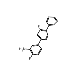 Nc1cc(-c2ccc(-c3ccccc3)c(F)c2)ccc1F